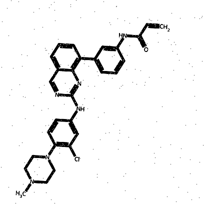 C=CC(=O)Nc1cccc(-c2cccc3cnc(Nc4ccc(N5CCN(C)CC5)c(Cl)c4)nc23)c1